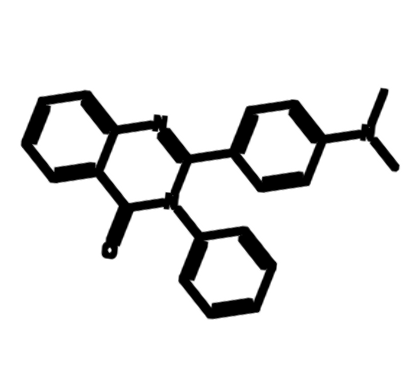 CN(C)c1ccc(-c2nc3ccccc3c(=O)n2-c2ccccc2)cc1